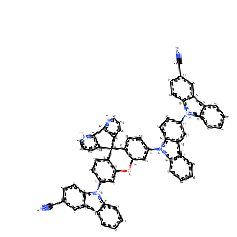 N#Cc1ccc2c(c1)c1ccccc1n2-c1ccc2c(c1)Oc1cc(-n3c4ccccc4c4cc(-n5c6ccccc6c6cc(C#N)ccc65)ccc43)ccc1C21c2cccnc2-c2ncccc21